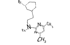 CCN(CCC1CCCC(Br)C1)c1nc(C)cc(C)n1